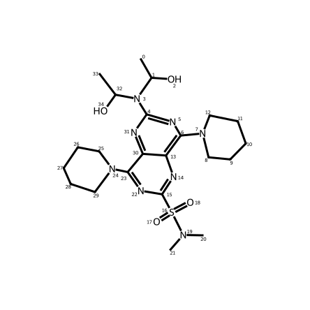 CC(O)N(c1nc(N2CCCCC2)c2nc(S(=O)(=O)N(C)C)nc(N3CCCCC3)c2n1)C(C)O